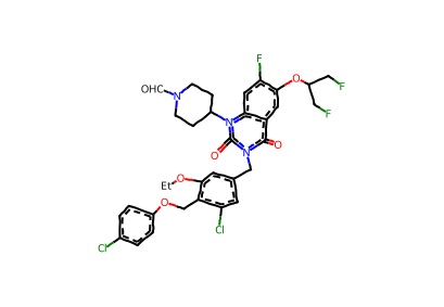 CCOc1cc(Cn2c(=O)c3cc(OC(CF)CF)c(F)cc3n(C3CCN(C=O)CC3)c2=O)cc(Cl)c1COc1ccc(Cl)cc1